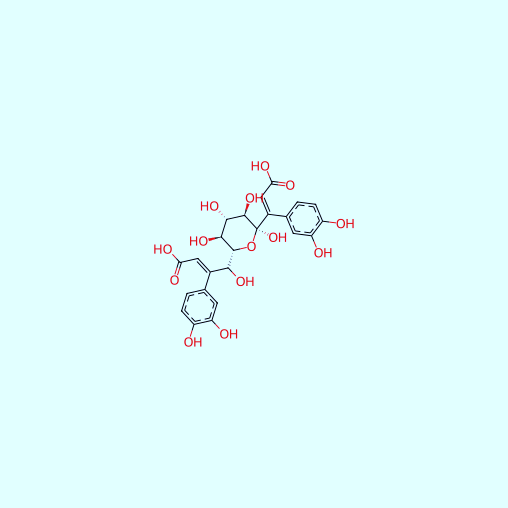 O=C(O)/C=C(\c1ccc(O)c(O)c1)C(O)[C@H]1O[C@](O)(/C(=C/C(=O)O)c2ccc(O)c(O)c2)[C@H](O)[C@@H](O)[C@@H]1O